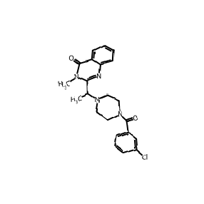 CC(c1nc2ccccc2c(=O)n1C)N1CCN(C(=O)c2cccc(Cl)c2)CC1